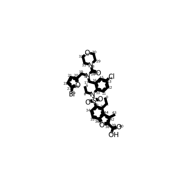 CCc1c(S(=O)(=O)N(CC)c2ccc(Cl)cc2CN(Cc2ccc(Br)o2)C(=O)N2CCOCC2)ccc2oc(C(=O)O)c(C)c12